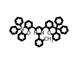 Cc1ccccc1-c1nc(-c2cccc3c2Oc2ccccc2C3(c2ccccc2)c2ccccc2)cc(-c2cccc3c2Oc2ccccc2[Si]3(c2ccccc2)c2ccccc2)n1